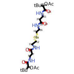 [CH2]C(C)(C)C(OC(C)=O)C(=O)NCCC(=O)NCCSSCCNC(=O)CCNC(=O)C(OC(C)=O)C([CH2])(C)C